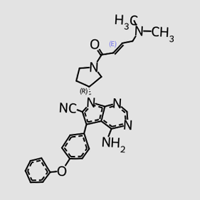 CN(C)C/C=C/C(=O)N1CC[C@@H](n2c(C#N)c(-c3ccc(Oc4ccccc4)cc3)c3c(N)ncnc32)C1